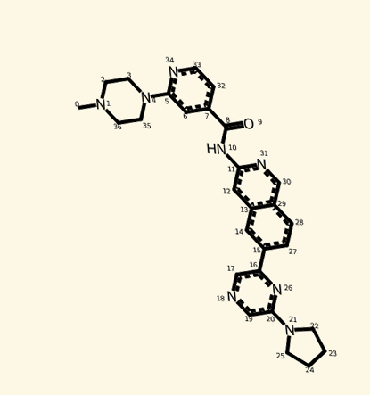 CN1CCN(c2cc(C(=O)Nc3cc4cc(-c5cncc(N6CCCC6)n5)ccc4cn3)ccn2)CC1